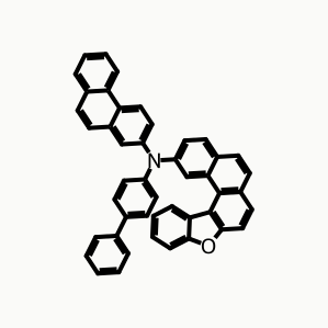 c1ccc(-c2ccc(N(c3ccc4c(ccc5ccccc54)c3)c3ccc4ccc5ccc6oc7ccccc7c6c5c4c3)cc2)cc1